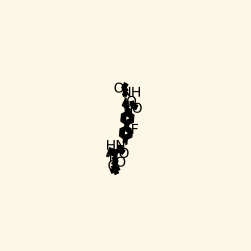 CC(=O)NC[C@H]1CN(c2ccc(-c3ccc(CNC(=O)C4CCN4C(=O)OC(C)(C)C)cc3F)cc2)C(=O)O1